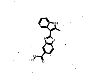 Cc1[nH]c2ccccc2c1-c1nc2cc(C(=O)NO)ccc2o1